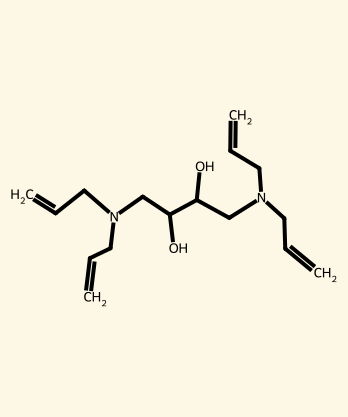 C=CCN(CC=C)CC(O)C(O)CN(CC=C)CC=C